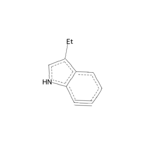 CCc1c[nH]c2c#cccc12